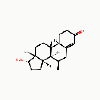 CCC12CC[C@H]3[C@@H]([C@H](C)CC4=CC(=O)CC[C@@H]43)[C@@H]1CC[C@@H]2O